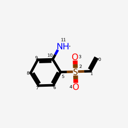 C=CS(=O)(=O)c1ccccc1[NH]